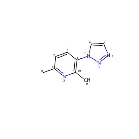 Cc1ccc(-n2ccnn2)c(C#N)n1